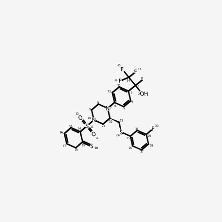 CC(O)(c1ccc(N2CCN(S(=O)(=O)C3=CC=CCC3=S)C[C@@H]2CSc2cccc(F)c2)cc1)C(F)(F)F